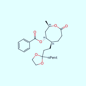 CCCCCC1(CC[C@@H]2CCC(=O)O[C@H](C)C[C@H]2OC(=O)c2ccccc2)OCCO1